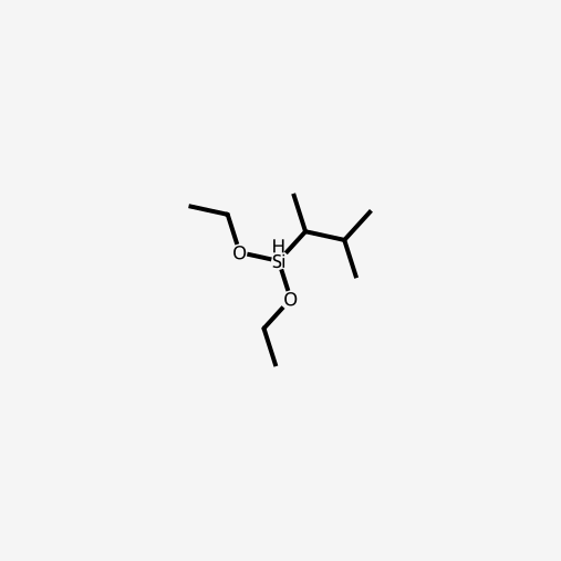 CCO[SiH](OCC)C(C)C(C)C